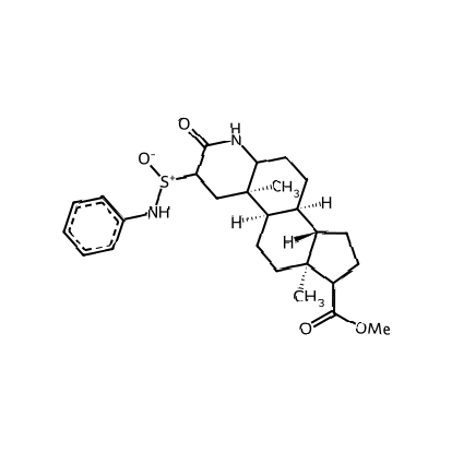 COC(=O)C1CC[C@H]2[C@@H]3CCC4NC(=O)C([S+]([O-])Nc5ccccc5)C[C@]4(C)[C@@H]3CC[C@]12C